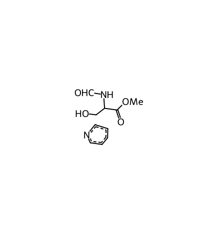 COC(=O)C(CO)NC=O.c1ccncc1